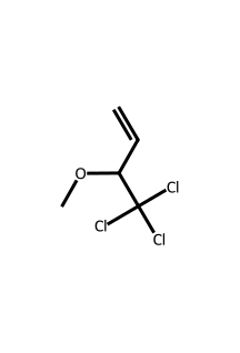 C=CC(OC)C(Cl)(Cl)Cl